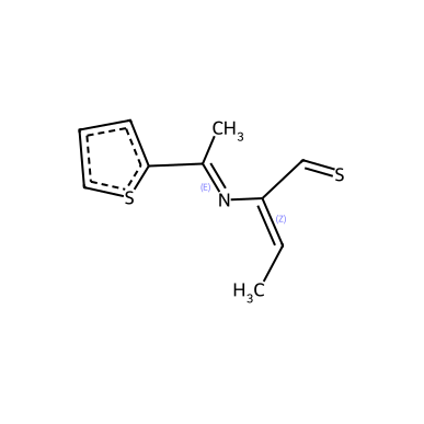 C/C=C(C=S)\N=C(/C)c1cccs1